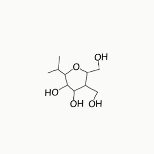 CC(C)C1OC(CO)C(CO)C(O)C1O